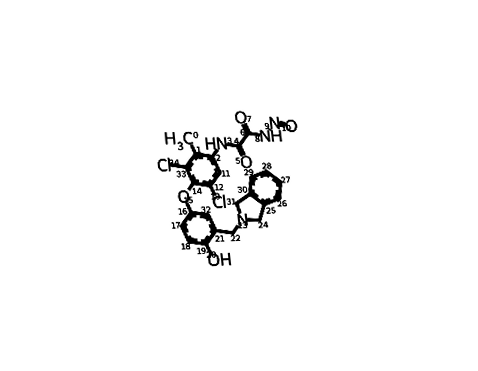 Cc1c(NC(=O)C(=O)NN=O)cc(Cl)c(Oc2ccc(O)c(CN3Cc4ccccc4C3)c2)c1Cl